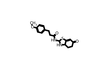 COc1ccc(CCC(=O)NC2NC3CCC(=O)C=C3S2)cc1